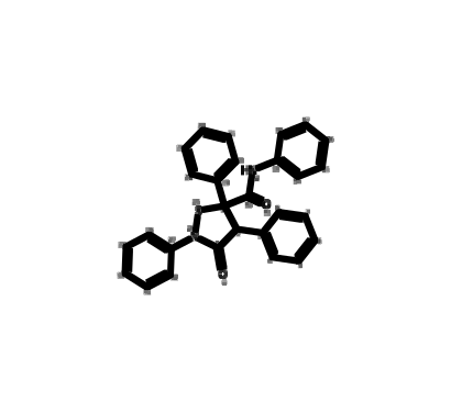 O=C1C(c2ccccc2)C(C(=O)Nc2ccccc2)(c2ccccc2)SN1c1ccccc1